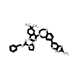 Cc1nc2cc(-c3ccc4c(c3)CN(c3nc([C@@H]5CCCN5C(=O)OCc5ccccc5)nc5c3CC(C)(C)CC5)CCO4)cnc2[nH]1